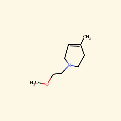 COCCN1CC=C(C)CC1